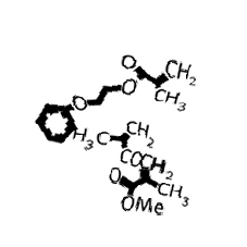 C=C(C)C(=O)O.C=C(C)C(=O)OC.C=C(C)C(=O)OCCOc1ccccc1